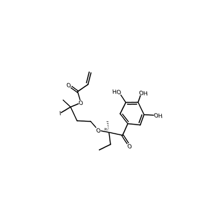 C=CC(=O)OC(C)(I)CCO[C@](C)(CC)C(=O)c1cc(O)c(O)c(O)c1